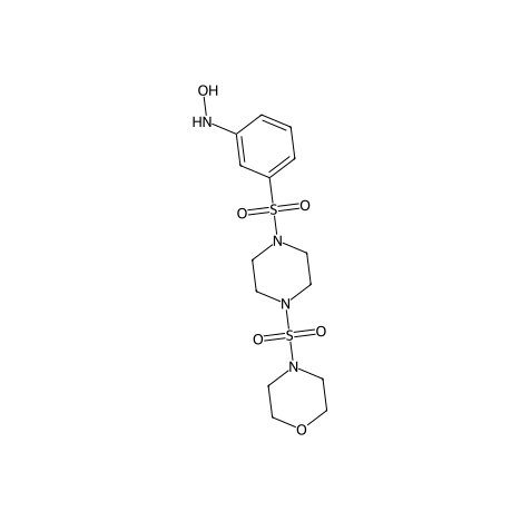 O=S(=O)(c1cccc(NO)c1)N1CCN(S(=O)(=O)N2CCOCC2)CC1